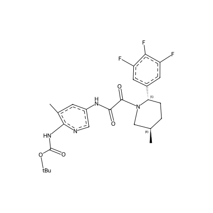 Cc1cc(NC(=O)C(=O)N2C[C@H](C)CC[C@H]2c2cc(F)c(F)c(F)c2)cnc1NC(=O)OC(C)(C)C